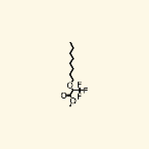 CCCCCCCCOC(C(=O)OC)C(F)(F)F